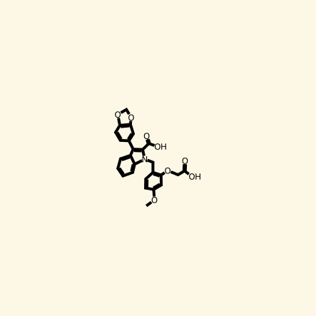 COc1ccc(Cn2c(C(=O)O)c(-c3ccc4c(c3)OCO4)c3ccccc32)c(OCC(=O)O)c1